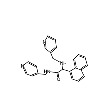 O=C(NCc1ccncc1)C(NCc1cccnc1)c1cccc2ccccc12